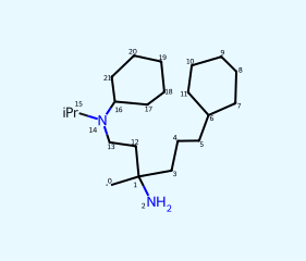 [CH2]C(N)(CCCC1CCCCC1)CCN(C(C)C)C1CCCCC1